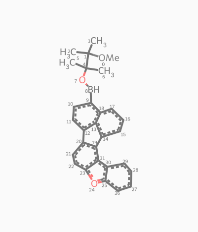 COC(C)(C)C(C)(C)OBc1ccc2c3c(cccc13)-c1c-2ccc2oc3ccccc3c12